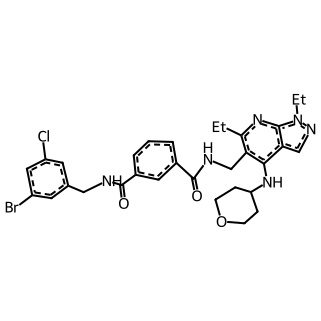 CCc1nc2c(cnn2CC)c(NC2CCOCC2)c1CNC(=O)c1cccc(C(=O)NCc2cc(Cl)cc(Br)c2)c1